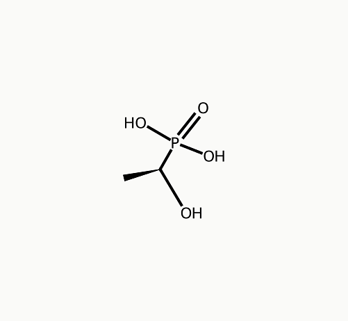 C[C@H](O)P(=O)(O)O